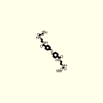 CC(C)(C)OC(=O)NCCNC(=O)c1ccc(SSc2ccc(C(=O)NCCNC(=O)OC(C)(C)C)cc2)cc1